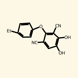 CCc1ccc(Oc2c(C#N)cc(O)c(O)c2C#N)cc1